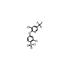 O=S(=O)(Cl)c1ccc(Oc2ncc(C(F)(F)F)cc2Cl)cc1Cl